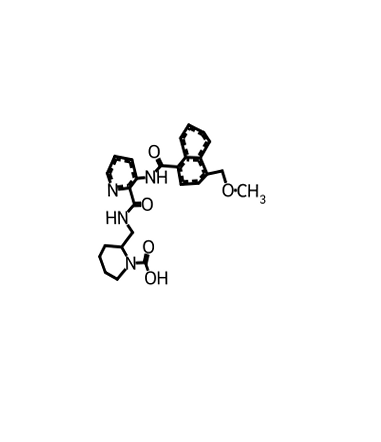 COCc1ccc(C(=O)Nc2cccnc2C(=O)NCC2CCCCN2C(=O)O)c2ccccc12